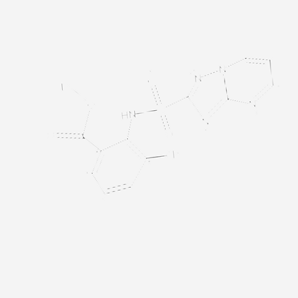 CC(C)OC(=O)c1cccc(Cl)c1NS(=O)(=O)c1nc2ncccn2n1